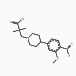 COc1cc(C2CCN(CC(C)(C)C(=O)O)CC2)ccc1[N+](=O)[O-]